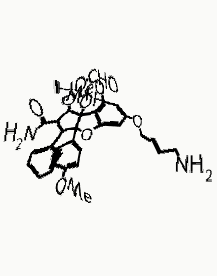 COc1ccc(C23Oc4cc(OCCCCN)cc(OC)c4C2(O)C(O)C(C(N)=O)C3c2ccccc2)cc1.O=CO